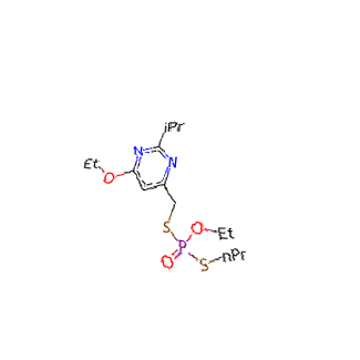 CCCSP(=O)(OCC)SCc1cc(OCC)nc(C(C)C)n1